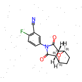 N#Cc1cc(N2C(=O)[C@@H]3[C@H](C2=O)[C@H]2CC[C@@H]3O2)ccc1F